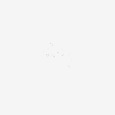 CCC(OCC(=O)c1ccc(-c2noc3cc(F)ccc23)c(NC)c1)N1CCCCC1